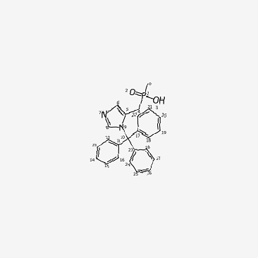 CP(=O)(O)Cc1cncn1C(c1ccccc1)(c1ccccc1)c1ccccc1